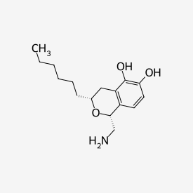 CCCCCC[C@@H]1Cc2c(ccc(O)c2O)[C@H](CN)O1